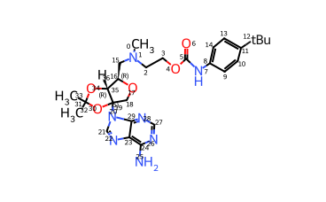 CN(CCOC(=O)Nc1ccc(C(C)(C)C)cc1)C[C@H]1OC[C@]2(n3cnc4c(N)ncnc43)OC(C)(C)O[C@H]12